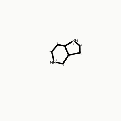 C1CC2NCCC2CN1